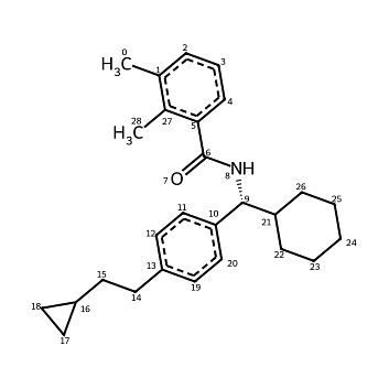 Cc1cccc(C(=O)N[C@@H](c2ccc(CCC3CC3)cc2)C2CCCCC2)c1C